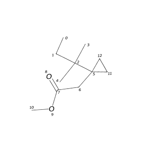 CCC(C)(C)C1(CC(=O)OC)CC1